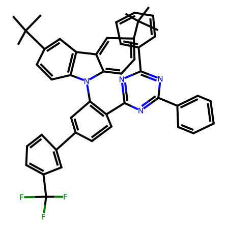 CC(C)(C)c1ccc2c(c1)c1cc(C(C)(C)C)ccc1n2-c1cc(-c2cccc(C(F)(F)F)c2)ccc1-c1nc(-c2ccccc2)nc(-c2ccccc2)n1